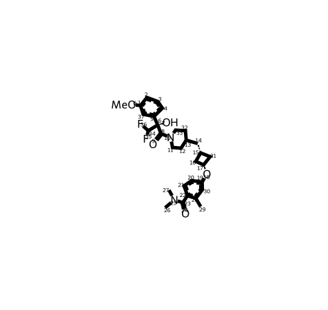 COc1cccc([C@@](O)(C(=O)N2CCC(C[C@H]3C[C@@H](Oc4ccc(C(=O)N(C)C)c(C)c4)C3)CC2)C(F)F)c1